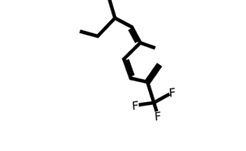 C=C(/C=C\C(C)=C/C(C)CC)C(F)(F)F